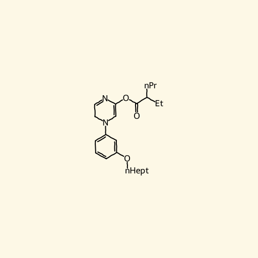 CCCCCCCOc1cccc(N2C=C(OC(=O)C(CC)CCC)N=CC2)c1